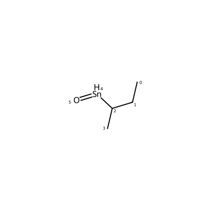 CC[CH](C)[SnH]=[O]